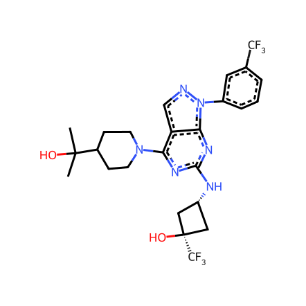 CC(C)(O)C1CCN(c2nc(N[C@H]3C[C@@](O)(C(F)(F)F)C3)nc3c2cnn3-c2cccc(C(F)(F)F)c2)CC1